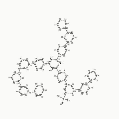 FC(F)(F)c1cc(-c2ccc(-c3nc(-c4ccc(-c5cccc(-c6ccccc6)c5)cc4)nc(-c4ccc(-c5cccc(-c6cccc(-c7cccc(-c8ccccc8)c7)c6)c5)cc4)n3)cc2)cc(-c2cccc(-c3ccccc3)c2)c1